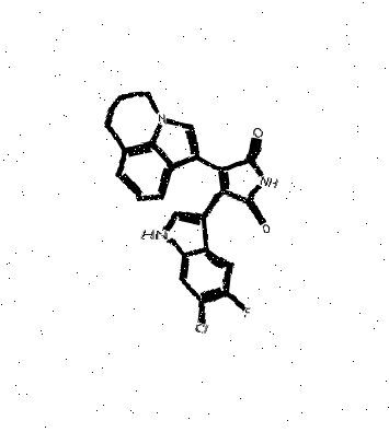 O=C1NC(=O)C(c2cn3c4c(cccc24)CCC3)=C1c1c[nH]c2cc(Cl)c(F)cc12